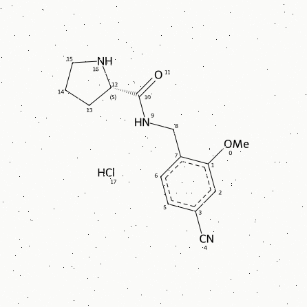 COc1cc(C#N)ccc1CNC(=O)[C@@H]1CCCN1.Cl